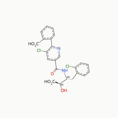 O=C(N[C@H](Cc1ccccc1Cl)[C@@H](O)C(=O)O)c1cnc(-c2ccccc2C(=O)O)c(Cl)c1